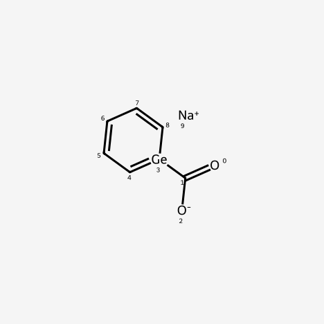 O=[C]([O-])[Ge]1=[CH]C=CC=[CH]1.[Na+]